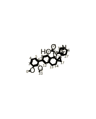 COc1cccc(-c2ccc3c(c2)CCC2(CC2)[C@@H]3N(C(=O)O)C2CN3CCC2CC3)c1OC